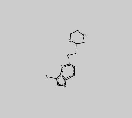 Brc1cnc2ccc(OC[C@H]3CNCCO3)nn12